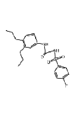 CCCc1ccc(NC(=O)NS(=O)(=O)c2ccc(F)cc2)cc1CCC